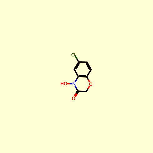 O=C1COc2ccc(Cl)cc2N1O